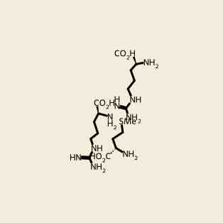 CSCC[C@H](N)C(=O)O.N=C(N)NCCC[C@H](N)C(=O)O.N=C(N)NCCC[C@H](N)C(=O)O